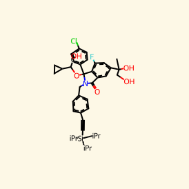 CC(C)[Si](C#Cc1ccc(CN2C(=O)c3cc(C(C)(O)CO)cc(F)c3C2(OC(CO)C2CC2)c2ccc(Cl)cc2)cc1)(C(C)C)C(C)C